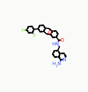 Nc1nccc2c(CNC(=O)c3ccc4c(c3)C3OC4c4ccc(-c5ccc(F)cc5F)cc43)cccc12